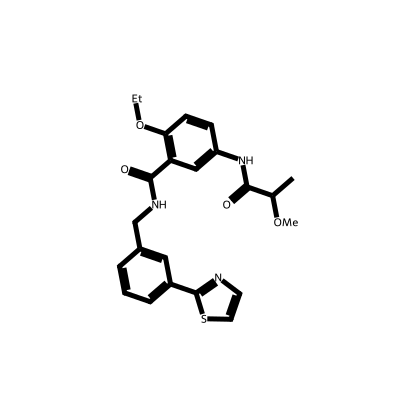 CCOc1ccc(NC(=O)C(C)OC)cc1C(=O)NCc1cccc(-c2nccs2)c1